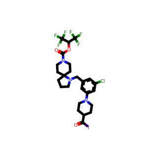 O=C(I)C1CCN(c2cc(Cl)cc(CN3CCCC34CCN(C(=O)OC(C(F)(F)F)C(F)(F)F)CC4)c2)CC1